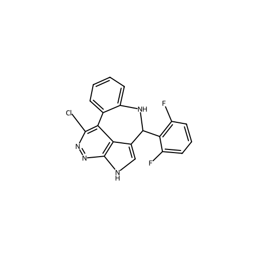 Fc1cccc(F)c1C1Nc2ccccc2-c2c(Cl)nnc3[nH]cc1c23